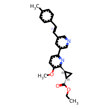 CCOC(=O)[C@H]1C[C@@H]1c1nc(-c2cncc(/C=C/c3ccc(C)cc3)c2)ccc1OC